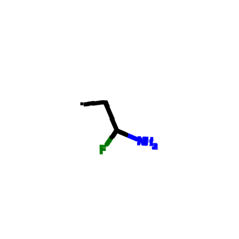 [CH2]CC(N)F